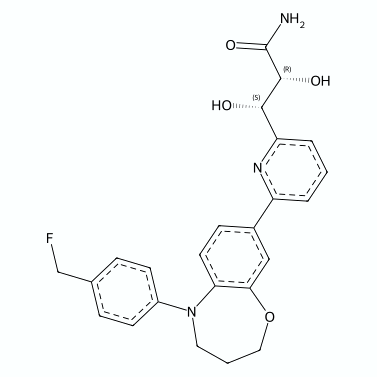 NC(=O)[C@H](O)[C@@H](O)c1cccc(-c2ccc3c(c2)OCCCN3c2ccc(CF)cc2)n1